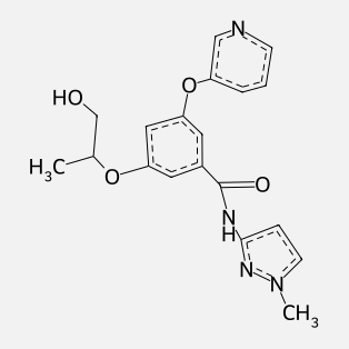 CC(CO)Oc1cc(Oc2cccnc2)cc(C(=O)Nc2ccn(C)n2)c1